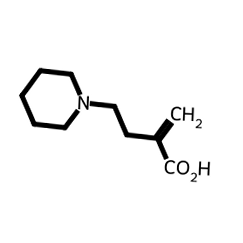 C=C(CCN1CCCCC1)C(=O)O